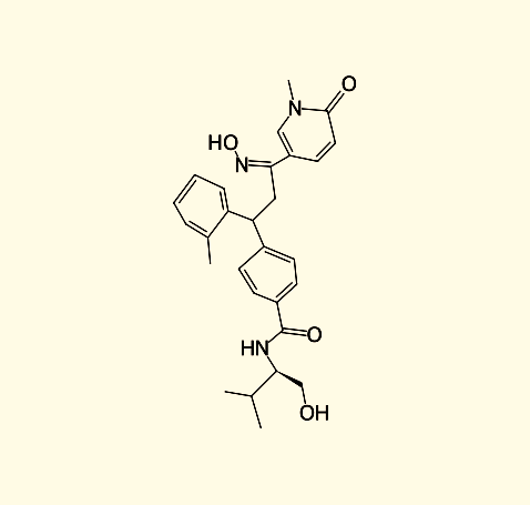 Cc1ccccc1C(C/C(=N/O)c1ccc(=O)n(C)c1)c1ccc(C(=O)N[C@@H](CO)C(C)C)cc1